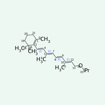 CC1=C(/C=C/C(C)=C/C=C/C(C)=C/COC(C)C)C(C)(C)CCC1